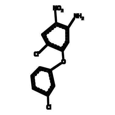 Nc1cc(Oc2cccc(Cl)c2)c(Cl)cc1[N+](=O)[O-]